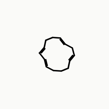 [C]1=C/CC/C=C/C/C=C/CCC/C=C/1